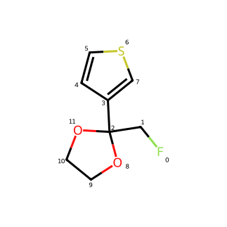 FCC1(c2ccsc2)OCCO1